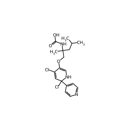 CC(C)CC(C)(COC1=CNC(Cl)(c2ccncc2)C=C1Cl)NC(=O)O